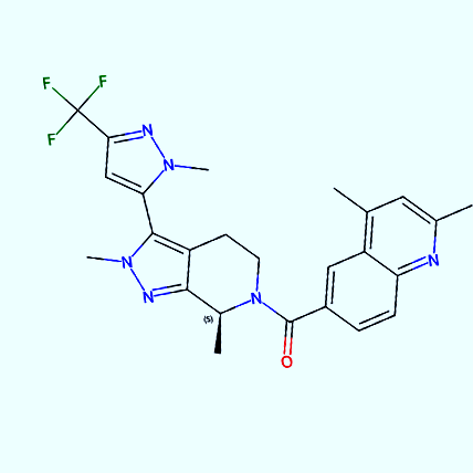 Cc1cc(C)c2cc(C(=O)N3CCc4c(nn(C)c4-c4cc(C(F)(F)F)nn4C)[C@@H]3C)ccc2n1